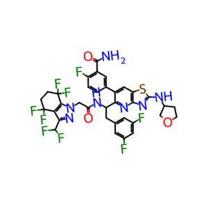 NC(=O)c1cc(-c2cc3sc(NC4CCOC4)nc3nc2C(Cc2cc(F)cc(F)c2)NC(=O)Cn2nc(C(F)F)c3c2C(F)(F)CCC3(F)F)ccc1F